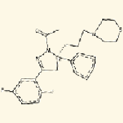 CC(=O)N1N=C(c2cc(F)ccc2F)C[C@]1(CCCN1CCSCC1)c1ccccc1